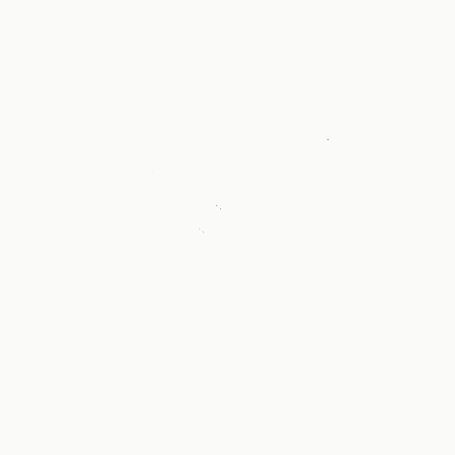 CCCCn1nc(Cc2ccc(Br)cc2)c(C(C)=O)c1C